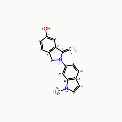 C=C1c2cc(O)ccc2CN1c1ccc2ccn(C)c2c1